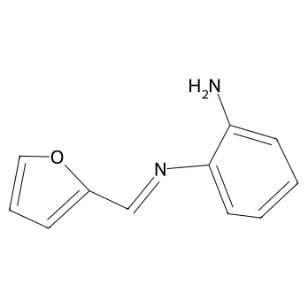 Nc1ccccc1/N=C/c1ccco1